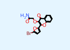 NC(=O)COc1c(-c2ccc(Br)o2)oc2ccccc2c1=O